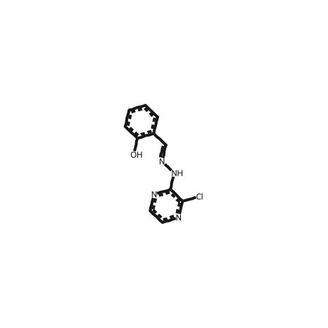 Oc1ccccc1C=NNc1nccnc1Cl